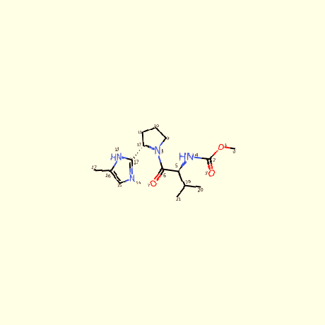 COC(=O)N[C@H](C(=O)N1CCC[C@H]1c1ncc(C)[nH]1)C(C)C